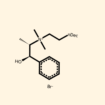 CCCCCCCCCCCC[N+](C)(C)[C@@H](C)[C@H](O)c1ccccc1.[Br-]